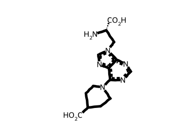 N[C@@H](Cn1cnc2c(N3CCC(C(=O)O)CC3)ncnc21)C(=O)O